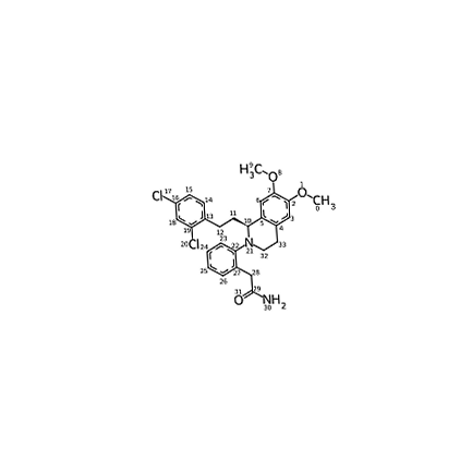 COc1cc2c(cc1OC)[C@H](CCc1ccc(Cl)cc1Cl)N(c1ccccc1CC(N)=O)CC2